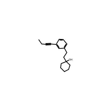 CCC#Cc1cccc(CCC2(O)CCCCC2)c1